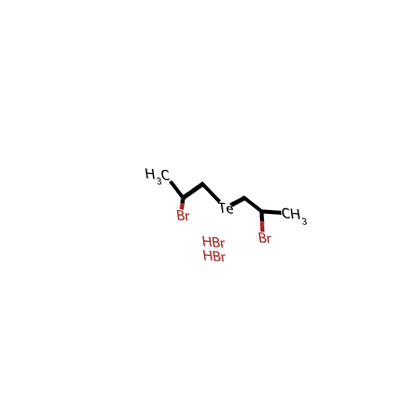 Br.Br.CC(Br)C[Te]CC(C)Br